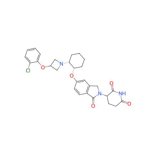 O=C1CCC(N2Cc3cc(O[C@H]4CCCC[C@H]4N4CC(Oc5ccccc5Cl)C4)ccc3C2=O)C(=O)N1